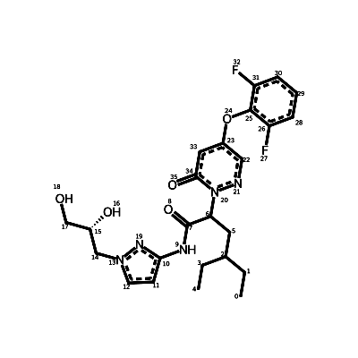 CCC(CC)CC(C(=O)Nc1ccn(C[C@@H](O)CO)n1)n1ncc(Oc2c(F)cccc2F)cc1=O